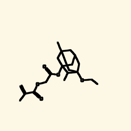 C=C(C)C(=O)OCC(=O)OC12CC3CC(C)(CC(OCC)(C3)C1C)C2